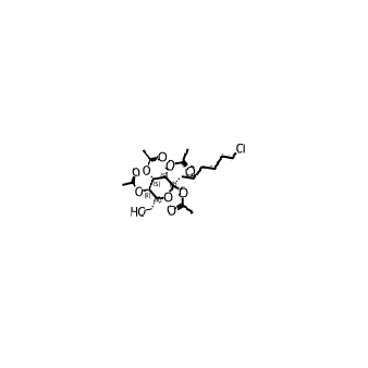 CC(=O)O[C@H]1[C@H](OC(C)=O)[C@H](OC(C)=O)[C@@](CCCCCCCl)(OC(C)=O)O[C@@H]1CO